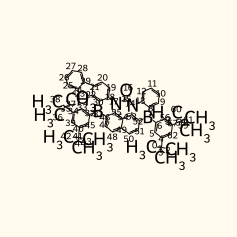 CC(C)(C)c1cc(B2c3ccccc3N3C(=O)N4c5ccc6c(oc7ccccc76)c5B(c5cc(C(C)(C)C)cc(C(C)(C)C)c5)c5ccc6ccc2c3c6c54)cc(C(C)(C)C)c1